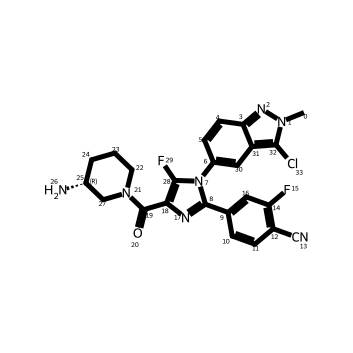 Cn1nc2ccc(-n3c(-c4ccc(C#N)c(F)c4)nc(C(=O)N4CCC[C@@H](N)C4)c3F)cc2c1Cl